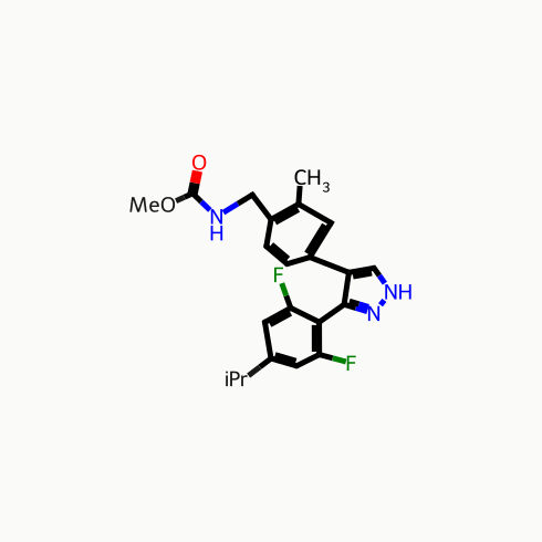 COC(=O)NCc1ccc(-c2c[nH]nc2-c2c(F)cc(C(C)C)cc2F)cc1C